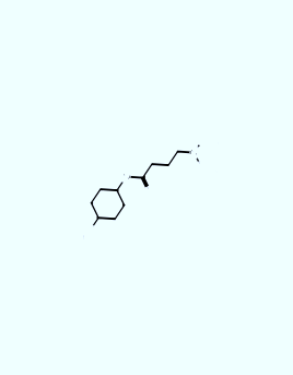 CC1CCC(NC(=O)CCCN(C)C)CC1